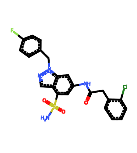 NS(=O)(=O)c1cc(NC(=O)Cc2ccccc2Cl)cc2c1cnn2Cc1ccc(F)cc1